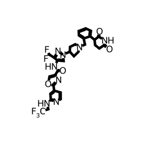 O=C1CCC(c2ccccc2CN2CCC(n3cc(NC(=O)c4coc(-c5ccnc(NCC(F)(F)F)c5)n4)c(C(F)F)n3)CC2)C(=O)N1